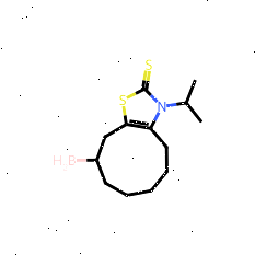 BC1CCCCCc2c(sc(=S)n2C(C)C)C1